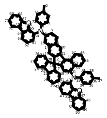 Cc1ccc(N(c2ccc3cc4c(cc3c2)C2(c3ccccc3-c3ccccc32)c2cc(N(c3ccc(C)cc3)c3cccc5c3oc3ccccc35)c3ccccc3c2-4)c2cccc3c2oc2ccccc23)cc1